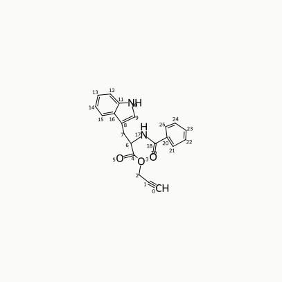 C#CCOC(=O)C(Cc1c[nH]c2ccccc12)NC(=O)c1ccccc1